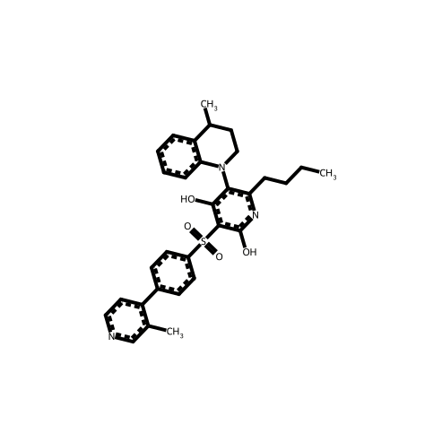 CCCCc1nc(O)c(S(=O)(=O)c2ccc(-c3ccncc3C)cc2)c(O)c1N1CCC(C)c2ccccc21